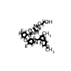 COc1cnc2c(-c3nc4cc(F)c(OC5CC(F)(F)CC5OC(=O)Nc5cnc(OCCO)nc5)cc4s3)cc(C)cc2c1